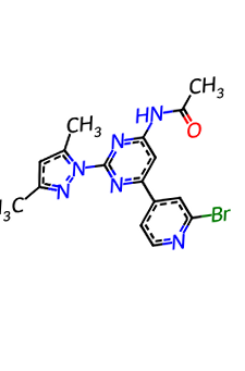 CC(=O)Nc1cc(-c2ccnc(Br)c2)nc(-n2nc(C)cc2C)n1